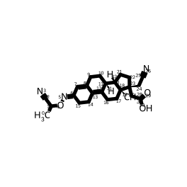 CC(C#N)O/N=C1/C=C2CC[C@@H]3C(=C2CC1)CC[C@@]1(C)[C@H]3CC[C@]1(CC#N)CC(=O)O